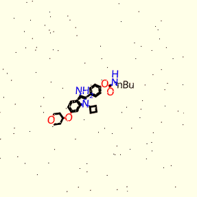 CCCCNC(=O)Oc1ccc(-c2c(N)c3ccc(OC4CCOCC4)cc3n2C2CCC2)cc1